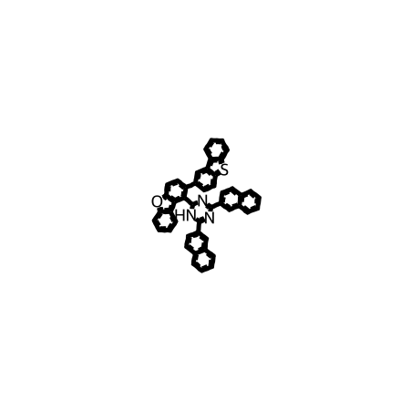 c1ccc2cc(C3=NC(c4c(-c5ccc6sc7ccccc7c6c5)ccc5oc6ccccc6c45)NC(c4ccc5ccccc5c4)=N3)ccc2c1